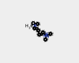 CC1CCCc2c1n(-c1cccc3c1Cc1ccc(-c4cccc5c4-c4cccc(-c6nc(C7=CCCC=C7)nc(-c7ccccc7)n6)c4C5)cc1-3)c1ccccc21